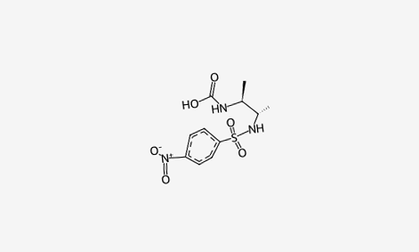 C[C@H](NC(=O)O)[C@H](C)NS(=O)(=O)c1ccc([N+](=O)[O-])cc1